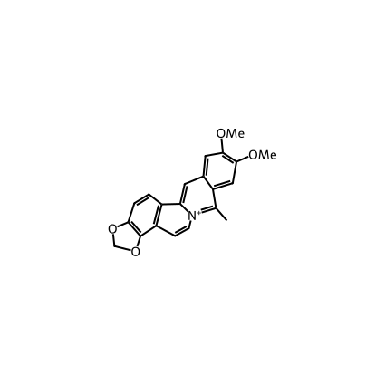 COc1cc2cc3c4ccc5c(c4cc[n+]3c(C)c2cc1OC)OCO5